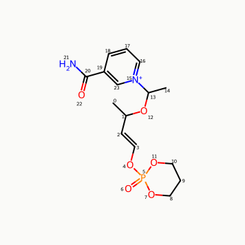 CC(/C=C/OP1(=O)OCCCO1)OC(C)[n+]1cccc(C(N)=O)c1